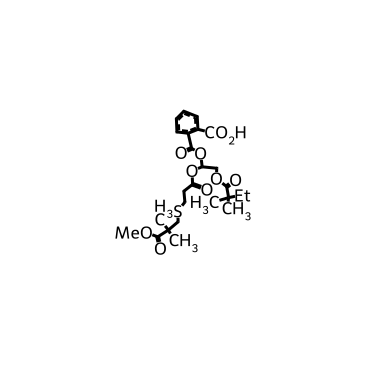 CCC(C)(C)C(=O)OCC(OC(=O)CCSCC(C)(C)C(=O)OC)OC(=O)c1ccccc1C(=O)O